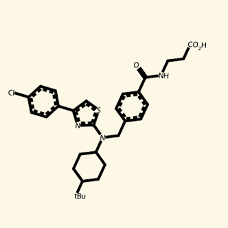 CC(C)(C)C1CCC(N(Cc2ccc(C(=O)NCCC(=O)O)cc2)c2nc(-c3ccc(Cl)cc3)cs2)CC1